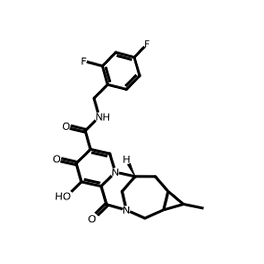 CC1C2C[C@@H]3CN(CC12)C(=O)c1c(O)c(=O)c(C(=O)NCc2ccc(F)cc2F)cn13